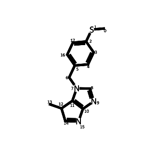 CSc1ccc(Cn2cnc3c2C(C)C=N3)cc1